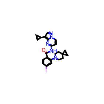 O=C(Nc1ccn2ncc(C3CC3)c2n1)c1ccc(I)cc1N1CCC2(CC1)CC2